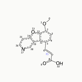 COc1ccc(/C=C/C(=O)O)c2c1oc1ccncc12